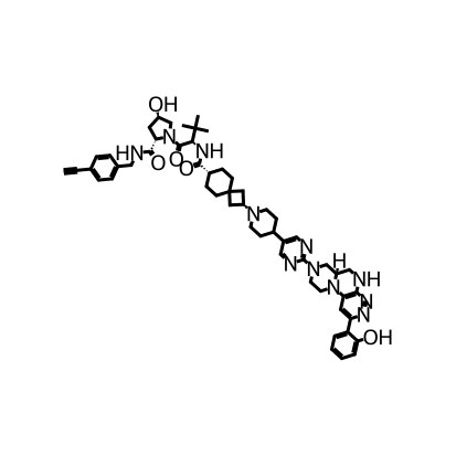 C#Cc1ccc(CNC(=O)[C@@H]2C[C@@H](O)CN2C(=O)[C@@H](NC(=O)[C@H]2CCC3(CC2)C[C@H](N2CCC(c4cnc(N5CCN6c7cc(-c8ccccc8O)nnc7NC[C@H]6C5)nc4)CC2)C3)C(C)(C)C)cc1